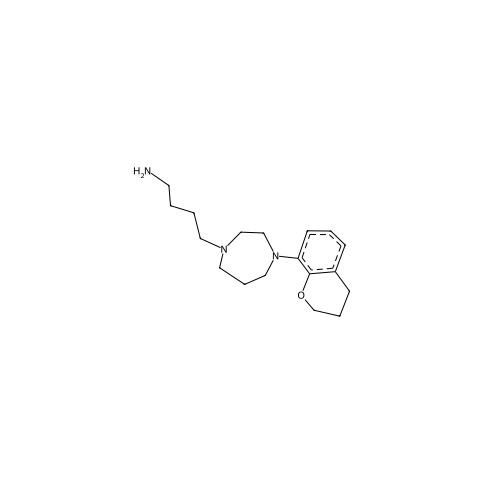 NCCCCN1CCCN(c2cccc3c2OCCC3)CC1